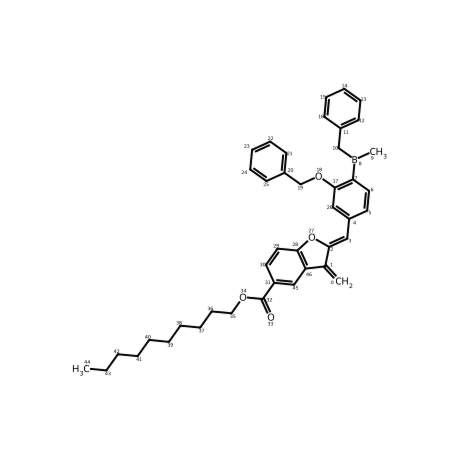 C=c1/c(=C/c2ccc(B(C)Cc3ccccc3)c(OCc3ccccc3)c2)oc2ccc(C(=O)OCCCCCCCCCC)cc12